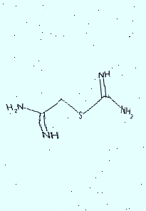 N=C(N)CSC(=N)N